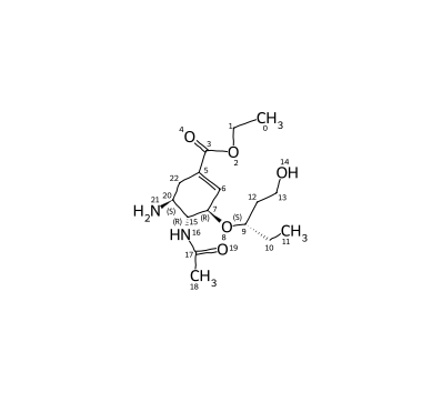 CCOC(=O)C1=C[C@@H](O[C@@H](CC)CCO)[C@H](NC(C)=O)[C@@H](N)C1